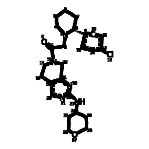 O=C(CN1CCCC[C@@H]1c1ccc(Cl)cc1)N1CCc2cnc(NC3CCOCC3)nc2C1